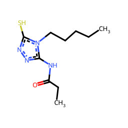 CCCCCn1c(S)nnc1NC(=O)CC